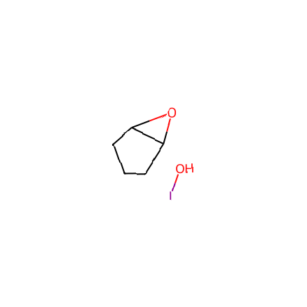 C1CC2OC2C1.OI